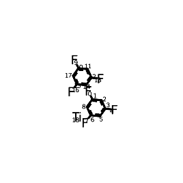 Fc1cc(F)cc(F)c1.Fc1cc(F)cc(F)c1.[Ti]